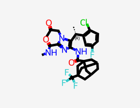 CNC(=O)c1nc(NC(=O)C23CC4CC(C2)CC(C(F)(F)F)(C4)C3)c([C@H](C)c2cc(F)ccc2Cl)n1CC(C)=O